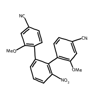 COc1cc(C#N)ccc1-c1cccc([N+](=O)[O-])c1-c1ccc(C#N)cc1OC